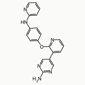 Nc1ncc(-c2cccnc2Oc2ccc(Nc3ccccn3)cc2)cn1